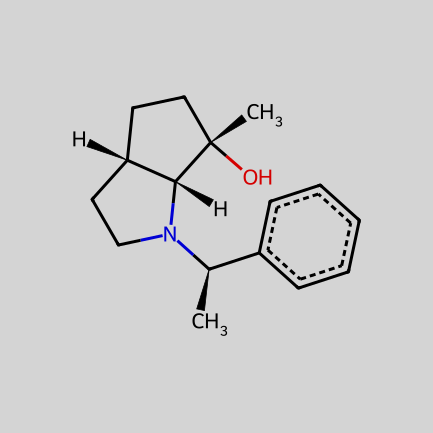 C[C@H](c1ccccc1)N1CC[C@@H]2CC[C@](C)(O)[C@@H]21